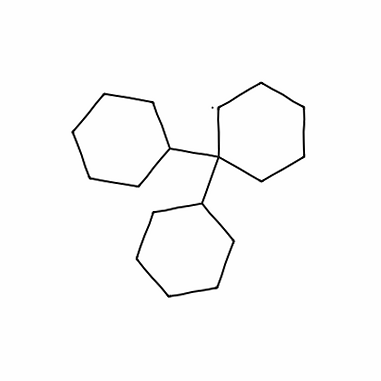 [CH]1CCCCC1(C1CCCCC1)C1CCCCC1